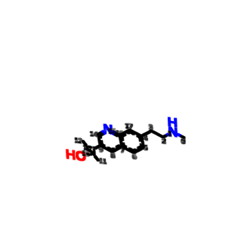 CNCCc1ccc2cc([Si](C)(C)O)cnc2c1